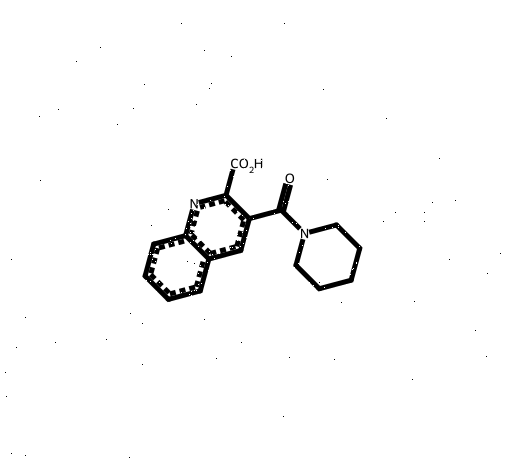 O=C(O)c1nc2ccccc2cc1C(=O)N1CCCCC1